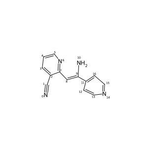 N#Cc1cccnc1/C=C(\N)c1ccncc1